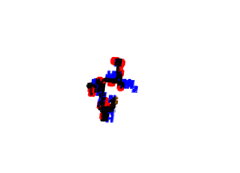 COCOc1ccccc1-c1cc2c(nn1)N(C(=O)OCc1ccc(NC(=O)[C@H](CCCNC(N)=O)NC(=O)[C@@H](NC(=O)CCCCCN3C(=O)C=CC3=O)C(C)C)cc1)[C@@H](C)[C@@H]1CN(C3CCN(CCOc4cc([C@H](C(=O)N5C[C@H](O[Si](C)(C)C(C)(C)C)C[C@H]5C(=O)N[C@@H](C)c5ccc(-c6scnc6C)cc5)C(C)C)on4)CC3)CCN21